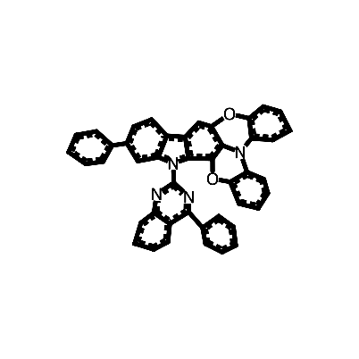 c1ccc(-c2ccc3c4cc5c6c(c4n(-c4nc(-c7ccccc7)c7ccccc7n4)c3c2)Oc2ccccc2N6c2ccccc2O5)cc1